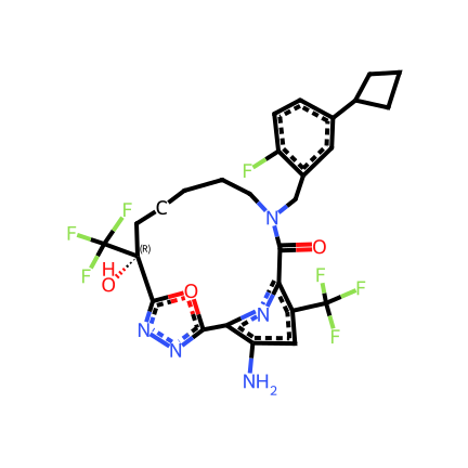 Nc1cc(C(F)(F)F)c2nc1-c1nnc(o1)[C@@](O)(C(F)(F)F)CCCCCN(Cc1cc(C3CCC3)ccc1F)C2=O